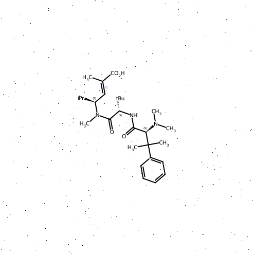 C/C(=C\[C@H](C(C)C)N(C)C(=O)[C@@H](NC(=O)[C@@H](N(C)C)C(C)(C)c1ccccc1)C(C)(C)C)C(=O)O